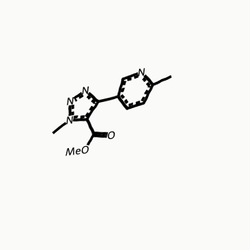 COC(=O)c1c(-c2ccc(C)nc2)nnn1C